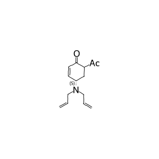 C=CCN(CC=C)[C@@H]1C=CC(=O)C(C(C)=O)C1